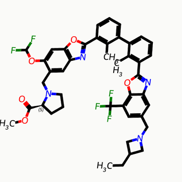 CCC1CN(Cc2cc(C(F)(F)F)c3oc(-c4cccc(-c5cccc(-c6nc7cc(CN8CCC[C@H]8C(=O)OC)c(OC(F)F)cc7o6)c5C)c4C)nc3c2)C1